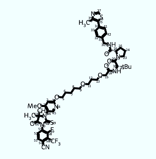 COc1cc(OCCCCCOCCCOCC(=O)N[C@H](C(=O)N2CCC[C@H]2C(=O)NCc2ccc(-c3scnc3C)cc2)C(C)(C)C)ncc1N1C(=S)N(c2ccc(C#N)c(C(F)(F)F)c2F)C(=O)C1(C)C